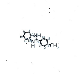 Cc1ccc(C2Nc3ccccc3N2)cc1